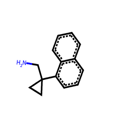 NCC1(c2cccc3ccccc23)CC1